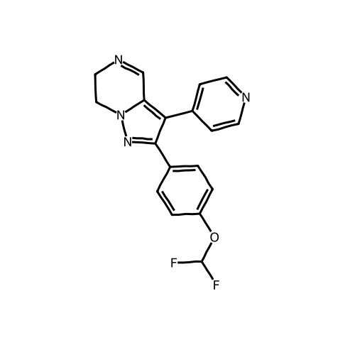 FC(F)Oc1ccc(-c2nn3c(c2-c2ccncc2)C=NCC3)cc1